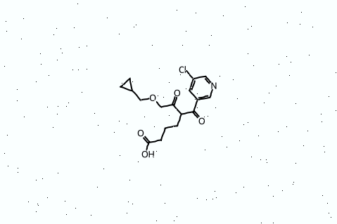 O=C(O)CCCC(C(=O)COCC1CC1)C(=O)c1cncc(Cl)c1